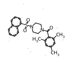 Cc1cc(C)c(C(=O)N2CCN(S(=O)(=O)c3cccc4ccccc34)CC2)c(C)c1